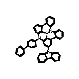 c1ccc(-c2ccc(N3c4cccc5c4B4c6c(cc(-n7c8ccccc8c8ccccc87)cc63)-c3ccccc3N4c3ccccc3-5)cc2)cc1